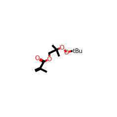 C=C(C)C(=O)OCC(C)(C)OOC(C)(C)C